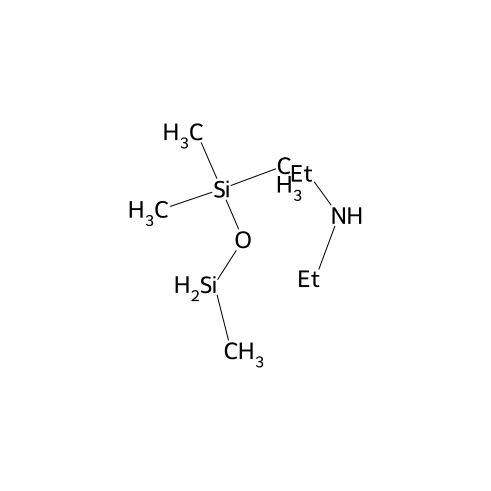 CCNCC.C[SiH2]O[Si](C)(C)C